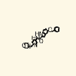 O=C(Nc1ccc(CN2CCOCC2)nc1)c1cc2cc(OCc3ccccc3)ccc2[nH]1